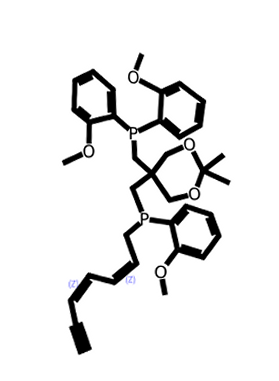 C#C/C=C\C=C/CP(CC1(CP(c2ccccc2OC)c2ccccc2OC)COC(C)(C)OC1)c1ccccc1OC